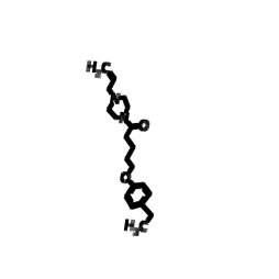 C=CCN1CCN(C(=O)CCCCOc2ccc(CC)cc2)CC1